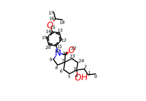 CCCC1(O)CCC2(CCN(c3ccc(OC(C)C)cc3)C2=O)CC1